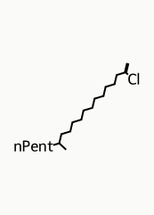 C=C(Cl)CCCCCCCCCCCC(C)CCCCC